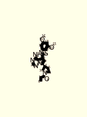 C=CC(=O)N1CC[C@H](c2cc(-c3nc4cc(OC)cc(OC)c4s3)c3c(N)ncnn23)C1